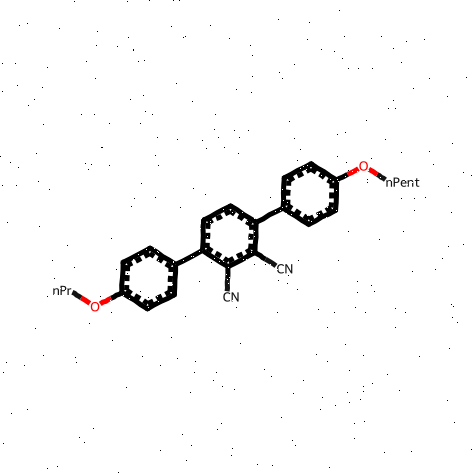 CCCCCOc1ccc(-c2ccc(-c3ccc(OCCC)cc3)c(C#N)c2C#N)cc1